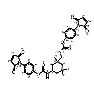 CC1(C)CC(NC(=O)Oc2ccc(N3C(=O)C=CC3=O)cc2)CC(C)(CNC(=O)Oc2ccc(N3C(=O)C=CC3=O)cc2)C1